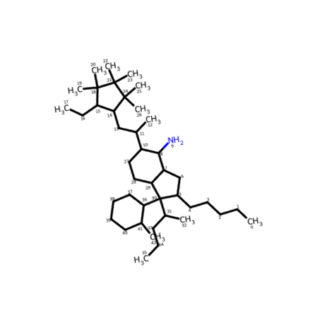 CCCCCC1CC2C(N)C(C(C)CC3C(CC)C(C)(C)C(C)(C)C3(C)C)CCC2C1(C(C)CCC)C1CCCCC1C